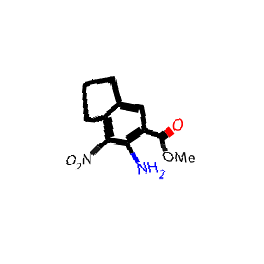 COC(=O)c1cc2c(c([N+](=O)[O-])c1N)CCC2